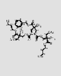 CC(=O)OCC(C)(COC(=O)OCC(C)(COC(=O)OCC(C)(COC(C)=O)C(=O)OCCCCl)C(=O)OCc1ccccc1)C(=O)OCCCCl